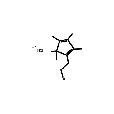 CC1=C(C)C(C)(C)C(C[CH2][Ti])=C1C.Cl.Cl